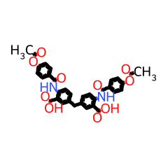 CC(=O)Oc1ccc(C(=O)Nc2ccc(Cc3ccc(NC(=O)c4ccc(OC(C)=O)cc4)c(C(=O)O)c3)cc2C(=O)O)cc1